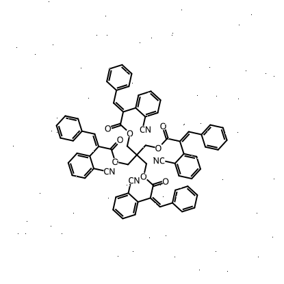 N#Cc1ccccc1/C(=C/c1ccccc1)C(=O)OCC(COC(=O)/C(=C/c1ccccc1)c1ccccc1C#N)(COC(=O)/C(=C/c1ccccc1)c1ccccc1C#N)COC(=O)/C(=C/c1ccccc1)c1ccccc1C#N